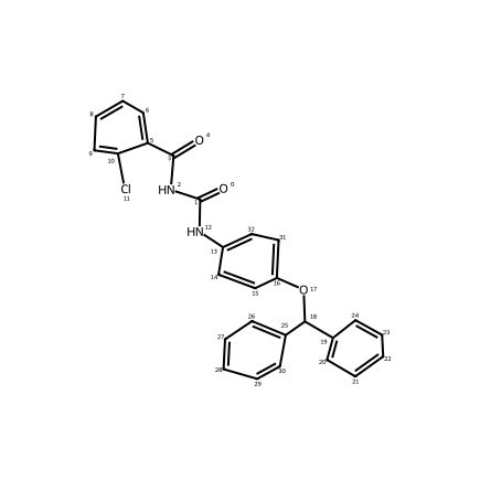 O=C(NC(=O)c1ccccc1Cl)Nc1ccc(OC(c2ccccc2)c2ccccc2)cc1